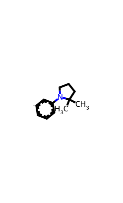 CC1(C)CCCN1c1c[c]ccc1